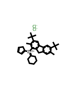 Cc1cc2c(cc1C(C)(C)C)-c1cc(C(C)(C)C)c(C)[c]([Zr+2]([C]3=CC=CC3)=[C]3CCCCC3)c1C2.[Cl-].[Cl-]